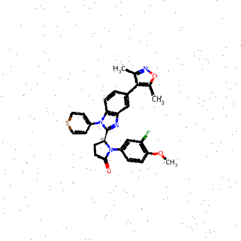 COc1ccc(N2C(=O)CC[C@H]2c2nc3cc(-c4c(C)noc4C)ccc3n2C2=CCSC=C2)cc1F